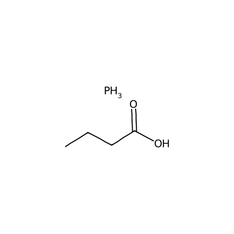 CCCC(=O)O.P